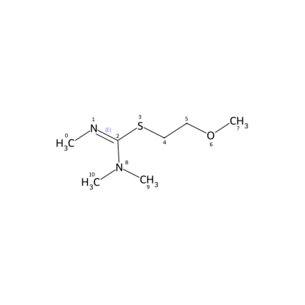 C/N=C(/SCCOC)N(C)C